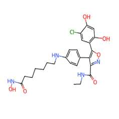 CCNC(=O)c1noc(-c2cc(Cl)c(O)cc2O)c1-c1ccc(NCCCCCCC(=O)NO)cc1